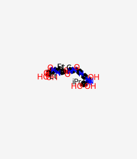 CCc1c2c(nc3ccc(OC(=O)N4CCN(C(=O)C5CCN(c6ccc(-n7c(O)nnc7-c7cc(C(C)C)c(O)cc7O)cc6)CC5)CC4C)cc13)-c1cc3c(c(=O)n1C2)COC(O)C3(O)CC